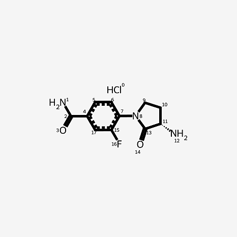 Cl.NC(=O)c1ccc(N2CC[C@H](N)C2=O)c(F)c1